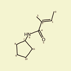 C/C=C(\C)C(=O)NC1CCCC1